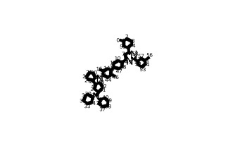 Cc1cccc(-c2cc(-c3ccc(-c4cc(C)c(-n5c6ccccc6c6cc(N(c7ccccc7)c7ccccc7)ccc65)cc4C)cc3)nc(-c3cccc(C)c3)n2)c1